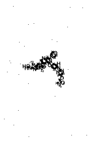 CN(C)C(=O)COc1cnc(N[C@H]2CC[C@@H](Oc3nc(N4CCOCC4)cc4ncc(N(Cc5cnc(NO)n5C)S(C)(=O)=O)cc34)CC2)nc1